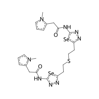 Cn1cccc1CC(=O)Nc1nnc(CCSCCc2nnc(NC(=O)Cc3cccn3C)[se]2)[se]1